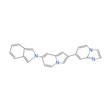 c1ccc2cn(-c3ccn4cc(-c5ccn6ccnc6c5)cc4c3)cc2c1